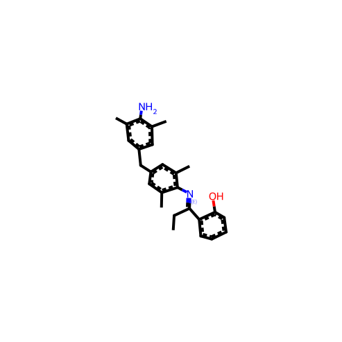 CC/C(=N\c1c(C)cc(Cc2cc(C)c(N)c(C)c2)cc1C)c1ccccc1O